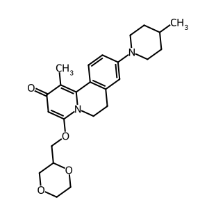 Cc1c2n(c(OCC3COCCO3)cc1=O)CCc1cc(N3CCC(C)CC3)ccc1-2